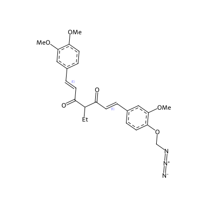 CCC(C(=O)/C=C/c1ccc(OC)c(OC)c1)C(=O)/C=C/c1ccc(OCN=[N+]=[N-])c(OC)c1